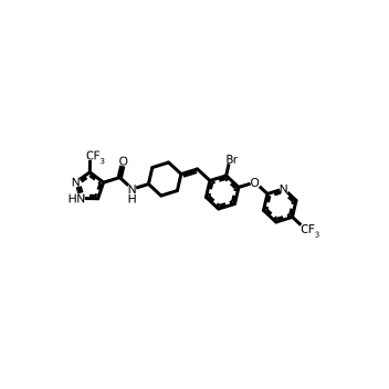 O=C(NC1CCC(=Cc2cccc(Oc3ccc(C(F)(F)F)cn3)c2Br)CC1)c1c[nH]nc1C(F)(F)F